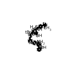 Cc1ncsc1-c1ccc([C@H](C)NC(=O)[C@@H]2C[C@@H](O)CN2C(=O)C(NC(=O)CCc2ccnc(N3CCN(c4cc(-c5ccccc5O)nnc4N)CC3)c2)C(C)(C)C)cc1